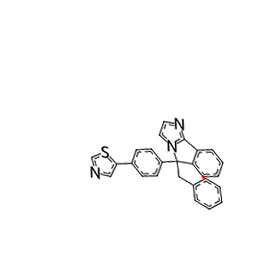 c1ccc(CC2(c3ccc(-c4cncs4)cc3)c3ccccc3-c3nccn32)cc1